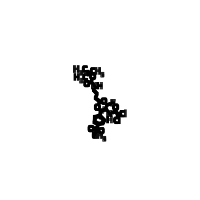 CC(C)(C)OC(=O)NCCCC(=O)O[C@H](c1ccc(S(C)(=O)=O)cc1)[C@@H](CF)NC(=O)C(Cl)Cl